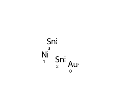 [Au].[Ni].[Sn].[Sn]